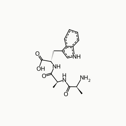 C[C@H](N)C(=O)N[C@@H](C)C(=O)N[C@@H](Cc1c[nH]c2ccccc12)C(=O)O